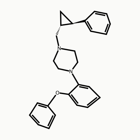 c1ccc(Oc2ccccc2N2CCN(C[C@@H]3C[C@H]3c3ccccc3)CC2)cc1